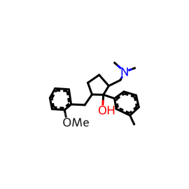 COc1ccccc1CC1CCC(CN(C)C)C1(O)c1cccc(C)c1